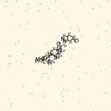 COC[C@]12CC[C@@](C)(O)C[C@H]1CC[C@H]1[C@@H]3CC[C@H](C(=O)Cn4ncc5ccc(Cl)cc54)[C@@]3(C)CC[C@@H]12